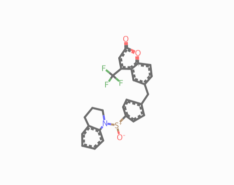 O=c1cc(C(F)(F)F)c2cc(Cc3ccc([S+]([O-])N4CCCc5ccccc54)cc3)ccc2o1